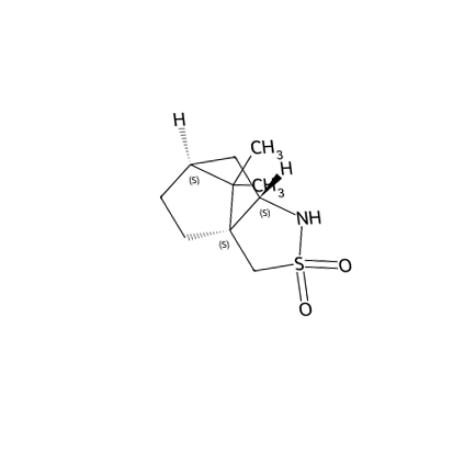 CC1(C)[C@H]2CC[C@]13CS(=O)(=O)N[C@H]3C2